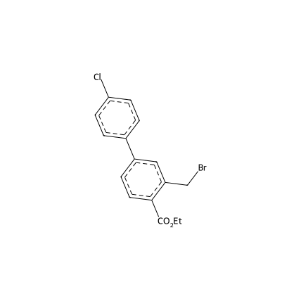 CCOC(=O)c1ccc(-c2ccc(Cl)cc2)cc1CBr